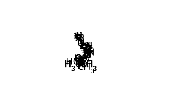 CCc1nc2cnc3cc(OCc4ccccc4)ccc3c2n1CCCCN(C(=O)O)C(C)(C)C